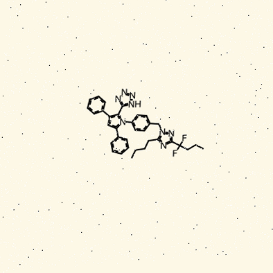 CCCCc1nc(C(F)(F)CCC)nn1Cc1ccc(-n2c(-c3ccccc3)cc(-c3ccccc3)c2-c2nnn[nH]2)cc1